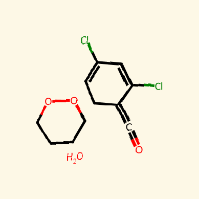 C1CCOOC1.O.O=C=C1CC=C(Cl)C=C1Cl